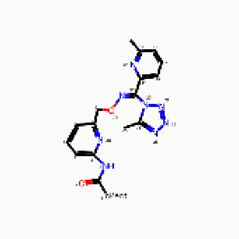 CCCCCC(=O)Nc1cccc(CON=C(c2cccc(C)n2)n2nnnc2C)n1